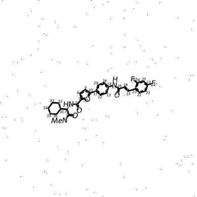 CNC(=O)[C@@H](NC(=O)c1ccc(-c2ccc(NC(=O)C=Cc3ccc(F)cc3F)cc2)o1)C1CCCCC1